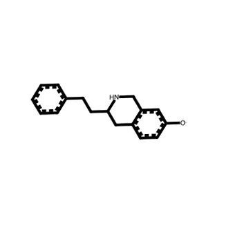 [O]c1ccc2c(c1)CNC(CCc1ccccc1)C2